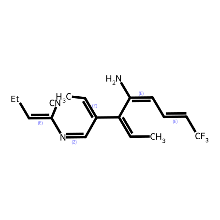 CC=C(C(/C=N\C(C#N)=C\CC)=C/C)/C(N)=C\C=C\C(F)(F)F